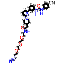 N#Cc1ccc(NC(=O)Nc2cccc(-c3cccc(N4CCC(CC(=O)NCCOCCOCCOCCN=[N+]=[N-])CC4)n3)c2)cc1